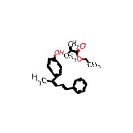 C=C(C)C(=O)OCC.CC(=CC=Cc1ccccc1)c1ccc(O)cc1